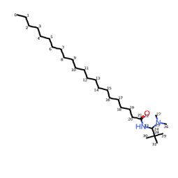 CCCCCCCCCCCCCCCCCCCCCC(=O)NC(N(C)C)C(C)(C)C